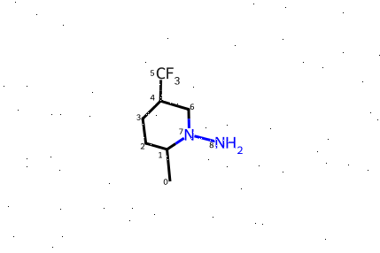 CC1CCC(C(F)(F)F)CN1N